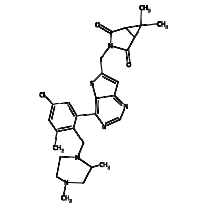 Cc1cc(Cl)cc(-c2ncnc3cc(CN4C(=O)C5C(C4=O)C5(C)C)sc23)c1CN1CCN(C)CC1C